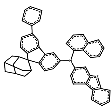 c1ccc(-c2ccc3c(c2)-c2cc(N(c4ccc5c(c4)sc4ccccc45)c4cccc5ccccc45)ccc2C32C3CC4CC(C3)CC2C4)cc1